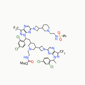 COC(=O)NCCN1CC(CC(c2ccc(Cl)cc2Cl)n2nc(C(F)(F)F)c3ncc(N4CC(C5CCCN(CCNS(=O)(=O)C(C)C)C5)C4)nc32)CC(C2CN(c3cnc4c(C(F)(F)F)nn(C(C)c5ccc(Cl)cc5Cl)c4n3)C2)C1